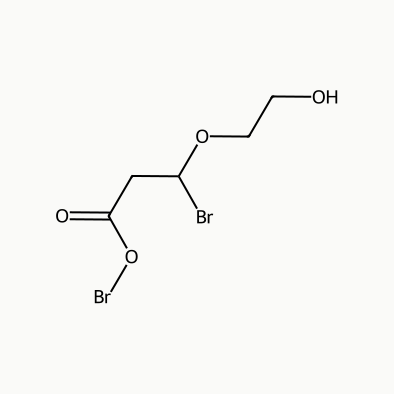 O=C(CC(Br)OCCO)OBr